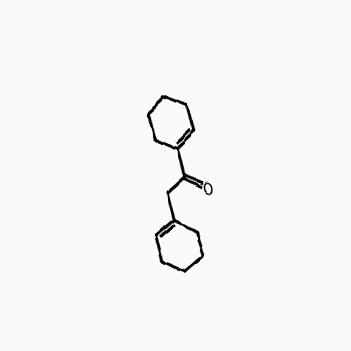 O=C(CC1=CCCCC1)C1=CCCCC1